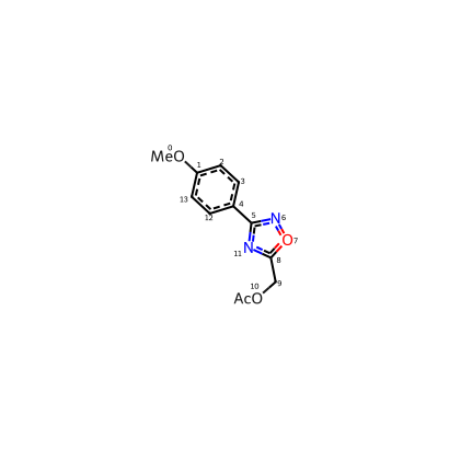 COc1ccc(-c2noc(COC(C)=O)n2)cc1